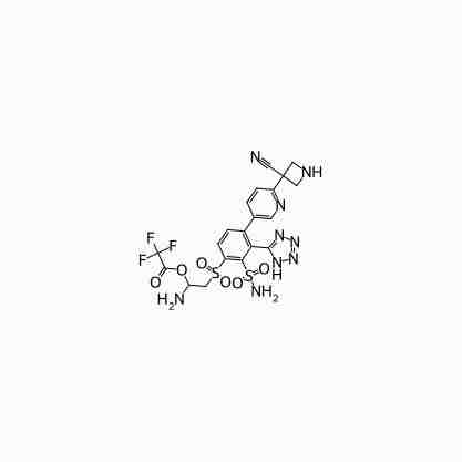 N#CC1(c2ccc(-c3ccc(S(=O)(=O)CC(N)OC(=O)C(F)(F)F)c(S(N)(=O)=O)c3-c3nnn[nH]3)cn2)CNC1